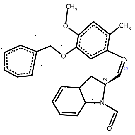 COc1cc(C)c(/N=C\[C@@H]2CC3C=CC=CC3N2C=O)cc1OCc1ccccc1